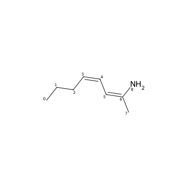 CCC/C=C\C=C(\C)N